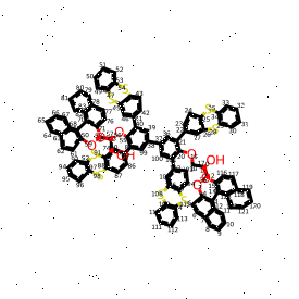 OCCOc1ccc2ccccc2c1-c1c(OCCOc2c(-c3ccc4c(c3)Sc3ccccc3S4)cc(-c3cc(-c4ccc5c(c4)Sc4ccccc4S5)c(OCCOc4ccc5ccccc5c4-c4c(OCCO)ccc5ccccc45)c(-c4ccc5c(c4)Sc4ccccc4S5)c3)cc2-c2ccc3c(c2)Sc2ccccc2S3)ccc2ccccc12